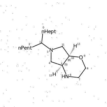 CCCCCCCC(CCCCC)N1C[C@@H]2NCCO[C@@H]2C1